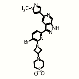 Cn1cc(-c2cc3c(-c4ccc(Br)c(N5CC(N6CCS(=O)(=O)CC6)C5)n4)n[nH]c3cn2)cn1